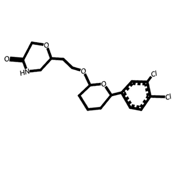 O=C1COC(CCOC2CCCC(c3ccc(Cl)c(Cl)c3)O2)CN1